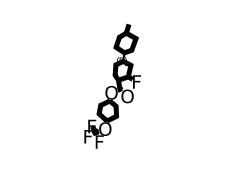 CC1CCC([C@@H]2CCC(C(=O)OC3CCC(OC(F)(F)F)CC3)C(F)C2)CC1